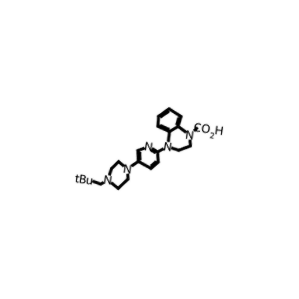 CC(C)(C)CN1CCN(c2ccc(N3CCN(C(=O)O)c4ccccc43)nc2)CC1